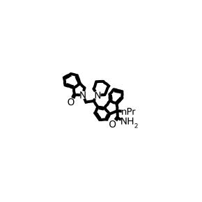 CCCC1(C(N)=O)c2ccccc2-c2c(C(CN3Cc4ccccc4C3=O)N3CCCCC3)cccc21